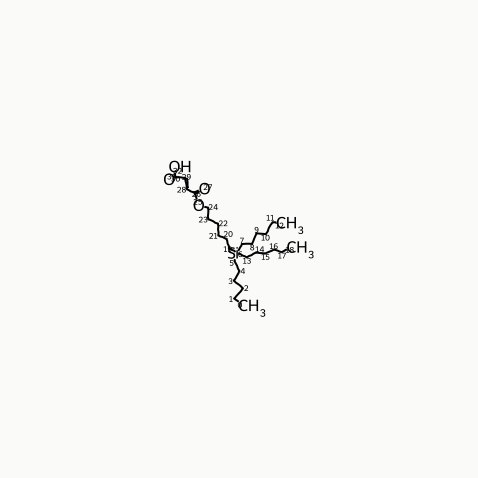 CCCCCC[Si](CCCCCC)(CCCCCC)CCCCCCOC(=O)/C=C/C(=O)O